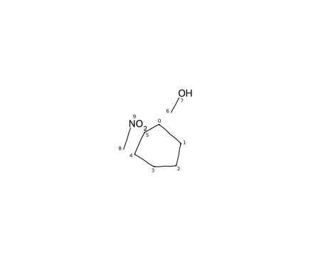 C1CCCCC1.CO.C[N+](=O)[O-]